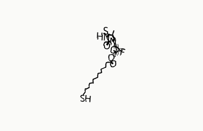 Cc1cn([C@H]2C[C@H](F)[C@@H](COC(=O)CCCCCCCCCCCCCS)O2)c(=O)[nH]c1=S